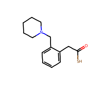 O=C(S)Cc1ccccc1CN1CCCCC1